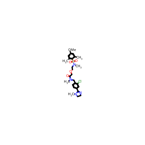 COc1cc(C)c(S(=O)(=O)N(C)CCOCC(=O)N(C)Cc2ccc(C3=NCCN3C)cc2Cl)c(C)c1